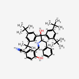 CC(C)(C)c1cc(C(C)(C)C)cc(C(O)(c2cc(C(C)(C)C)cc(C(C)(C)C)c2)C(Cc2ccccc2)N=Cc2cc(C#N)ccc2O)c1